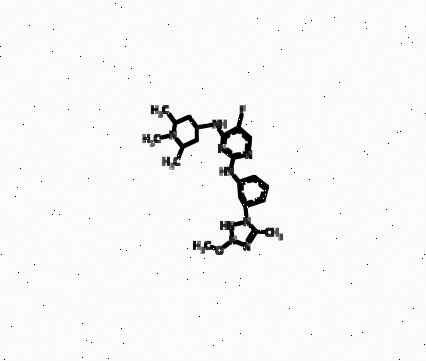 CON1N=C(C)N(c2cccc(Nc3ncc(F)c(NC4CC(C)N(C)C(C)C4)n3)c2)N1